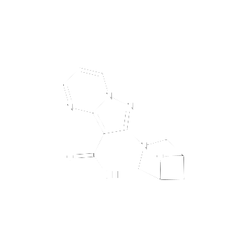 O=C(O)c1c(N2CC3CC(C2)O3)nn2cccnc12